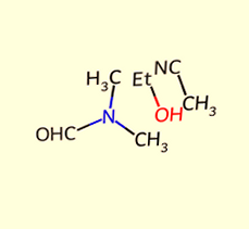 CC#N.CCO.CN(C)C=O